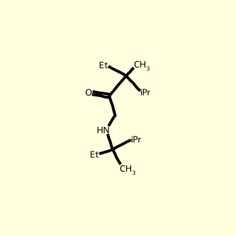 CCC(C)(NCC(=O)C(C)(CC)C(C)C)C(C)C